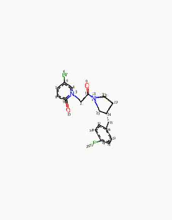 O=C(Cn1cc(Br)ccc1=O)N1CC[C@H](Cc2ccc(F)cc2)C1